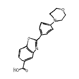 O=C(O)c1ccc2oc(-c3ccc(N4CCOCC4)cc3)nc2c1